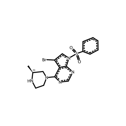 C[C@H]1CN(c2ncnc3c2c(Br)cn3S(=O)(=O)c2ccccc2)CCN1